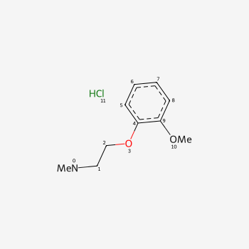 CNCCOc1ccccc1OC.Cl